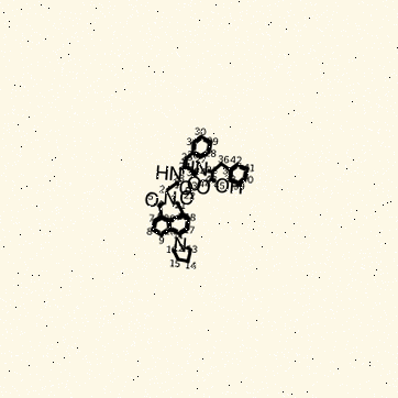 O=C(CN1C(=O)c2cccc3c(N4CCCC4)ccc(c23)C1=O)NC(Cc1ccccc1)C(=O)NC(Cc1ccccc1)C(=O)O